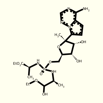 CCOC(=O)[C@H](C)NP(=O)(N[C@@H](C)C(O)OCC)OC[C@H]1O[C@@](C)(c2ccc3c(N)ncnn23)[C@H](O)[C@@H]1O